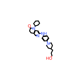 O=C1CCc2cnc(Nc3ccc(N4CCC(CCCO)CC4)cc3)cc2N1C1CCCCC1